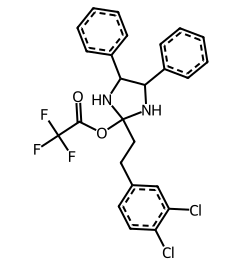 O=C(OC1(CCc2ccc(Cl)c(Cl)c2)NC(c2ccccc2)C(c2ccccc2)N1)C(F)(F)F